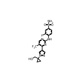 NS(=O)(=O)c1ccc(Nc2ncc(C(F)(F)F)c(-c3cnn(C4(CO)CC4)c3)n2)c(F)c1